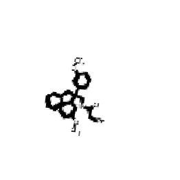 CC(C)CC(=O)NCC(Cc1ccccc1)(c1cccc(OC(F)(F)F)c1)c1cccc(OC(F)(F)F)c1